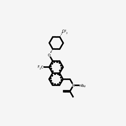 C=C(C)N(CCCC)Cc1cccc2c(C(F)(F)F)c(O[C@H]3CC[C@@H](C(F)(F)F)CC3)ccc12